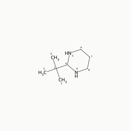 CC(C)(C)C1NCCCN1